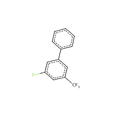 Fc1cc(-c2ccccc2)cc(C(F)(F)F)c1